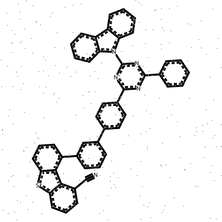 N#Cc1cccc2sc3cccc(-c4cccc(-c5ccc(-c6nc(-c7ccccc7)nc(-n7c8ccccc8c8ccccc87)n6)cc5)c4)c3c12